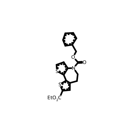 CCOC(=O)c1cc2c(s1)-c1sccc1N(C(=O)OCc1ccccc1)CC2